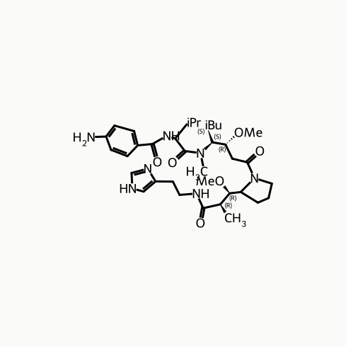 CC[C@H](C)[C@@H]([C@@H](CC(=O)N1CCCC1[C@H](OC)[C@@H](C)C(=O)NCCc1c[nH]cn1)OC)N(C)C(=O)C(NC(=O)c1ccc(N)cc1)C(C)C